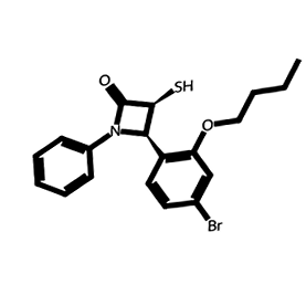 CCCCOc1cc(Br)ccc1[C@@H]1[C@H](S)C(=O)N1c1ccccc1